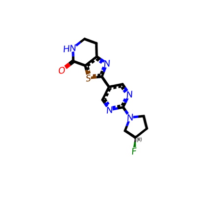 O=C1NCCc2nc(-c3cnc(N4CC[C@@H](F)C4)nc3)sc21